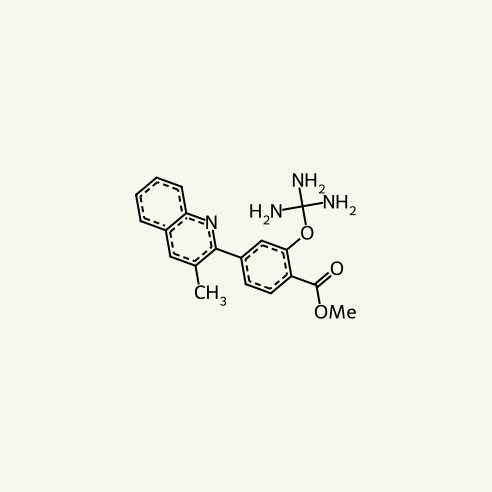 COC(=O)c1ccc(-c2nc3ccccc3cc2C)cc1OC(N)(N)N